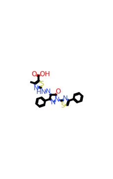 Cc1nc(N/N=C2/C(=O)N(c3nc(-c4ccccc4)cs3)N=C2c2ccccc2)sc1C(=O)O